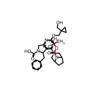 CC(C)(C)OC(=O)N1C2CCC1CN(c1nc(OCC3(CO)CC3)nc3c1C(Cc1ccccc1)N(C(=O)O)C3)C2